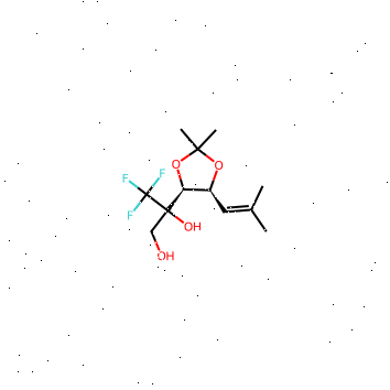 CC(C)=C[C@@H]1OC(C)(C)O[C@@H]1C(O)(CO)C(F)(F)F